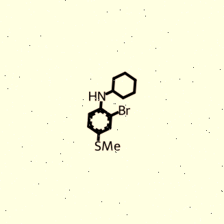 CSc1ccc(NC2CCCCC2)c(Br)c1